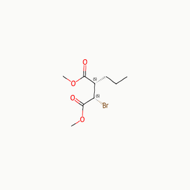 CCC[C@@H](C(=O)OC)[C@H](Br)C(=O)OC